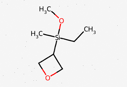 CC[Si](C)(OC)C1COC1